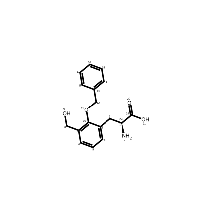 N[C@@H](Cc1cccc(CO)c1OCc1ccccc1)C(=O)O